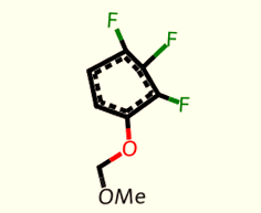 COCOc1ccc(F)c(F)c1F